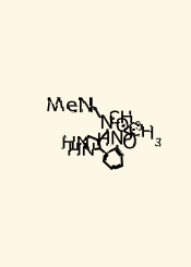 CNCCN(C)CC1CNNC1c1ccccc1NS(C)(=O)=O